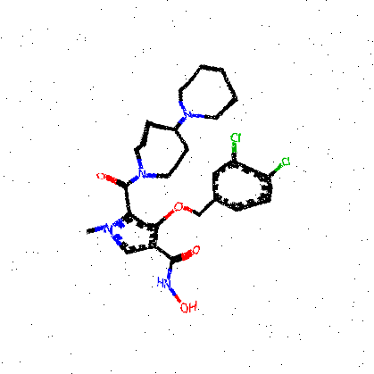 Cn1cc(C(=O)NO)c(OCc2ccc(Cl)c(Cl)c2)c1C(=O)N1CCC(N2CCCCC2)CC1